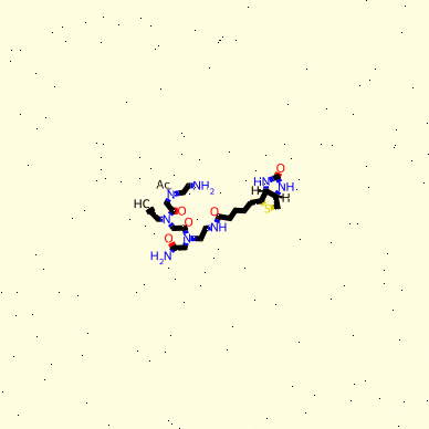 C#CCN(CC(=O)N(CCNC(=O)CCCCC1SC[C@H]2NC(=O)N[C@@H]12)CC(N)=O)C(=O)CN(CCN)C(C)=O